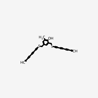 C#CC#CC#CC#CSCc1cc(C)c(O)c(CSC#CC#CC#CC#C)c1